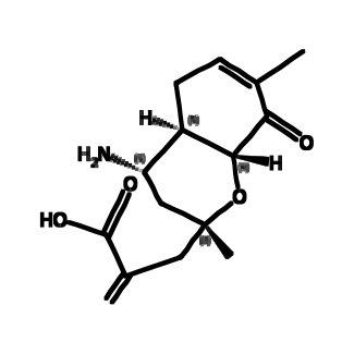 C=C(C[C@]1(C)C[C@H](N)[C@H]2CC=C(C)C(=O)[C@@H]2O1)C(=O)O